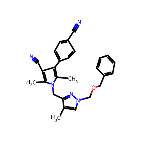 Cc1cn(COCc2ccccc2)nc1Cn1c(C)c(C#N)c(-c2ccc(C#N)cc2)c1C